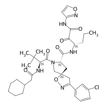 CCC[C@H](NC(=O)[C@@H]1C[C@]2(CC(c3cccc(Cl)c3)=NO2)CN1C(=O)[C@@H](NC(=O)CC1CCCCC1)C(C)(C)C)C(=O)C(=O)Nc1ccon1